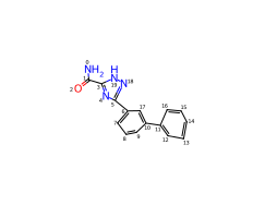 NC(=O)c1nc(-c2cccc(-c3ccccc3)c2)n[nH]1